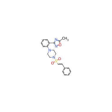 Cc1nc(-c2c[c]ccc2N2CCN(S(=O)(=O)C=Cc3ccccc3)CC2)no1